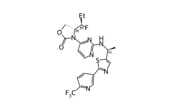 CC[C@@H](F)[C@H]1COC(=O)N1c1ccnc(N[C@@H](C)c2cnc(-c3ccc(C(F)(F)F)nc3)s2)n1